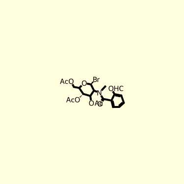 CC(=O)OCC1O[C@@H](Br)C(N(C)C(=O)c2ccccc2C=O)C(OC(C)=O)[C@@H]1OC(C)=O